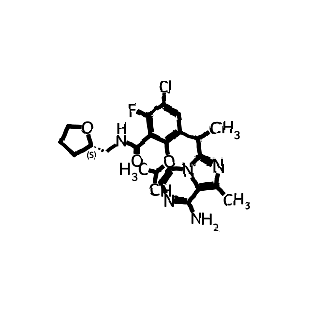 Cc1nc(C(C)c2cc(Cl)c(F)c(C(=O)NC[C@@H]3CCCO3)c2OC(C)C)n2ccnc(N)c12